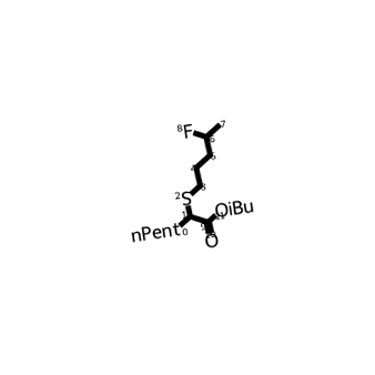 CCCCCC(SCCCC(C)F)C(=O)OCC(C)C